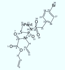 C=CCOC(=O)C(=O)N(CC=C)P(=O)(SCCCCC)N(C)S(=O)(=O)Cc1ccc(Br)cc1